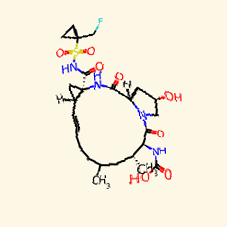 CC1CC/C=C\[C@@H]2C[C@@]2(C(=O)NS(=O)(=O)C2(CF)CC2)NC(=O)[C@@H]2C[C@@H](O)CN2C(=O)[C@@H](NC(=O)O)[C@H](C)C1